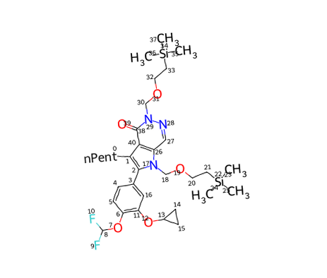 CCCCCc1c(-c2ccc(OC(F)F)c(OC3CC3)c2)n(COCC[Si](C)(C)C)c2cnn(COCC[Si](C)(C)C)c(=O)c12